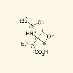 CCC(C(=O)O)C1(N[S+]([O-])C(C)(C)C)COC1